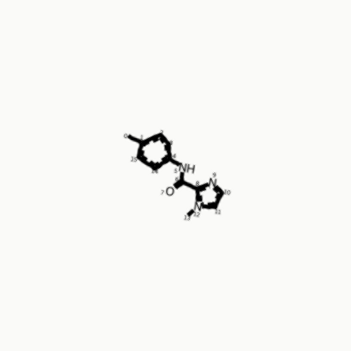 Cc1ccc(NC(=O)c2nccn2C)cc1